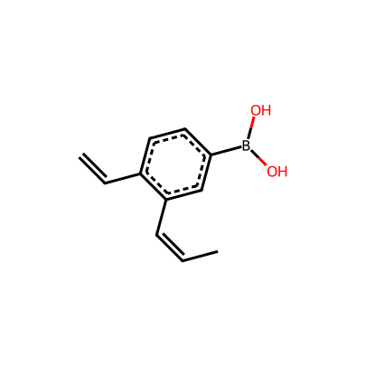 C=Cc1ccc(B(O)O)cc1/C=C\C